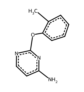 Cc1ccccc1Oc1nccc(N)n1